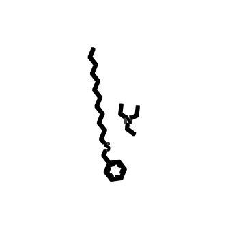 CCCCCCCCCCCCSCc1ccccc1.CCN(CC)CC